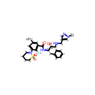 CCCc1cc(C(=O)N[C@@H](Cc2ccccc2)[C@H](O)CNCc2cnn(CC)c2)c(F)c(N2CCCCS2(=O)=O)c1